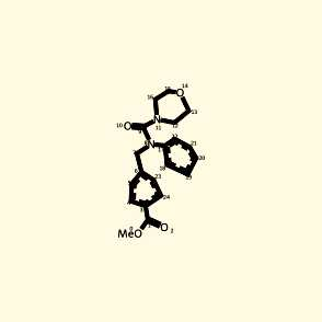 COC(=O)c1ccc(CN(C(=O)N2CCOCC2)c2ccccc2)cc1